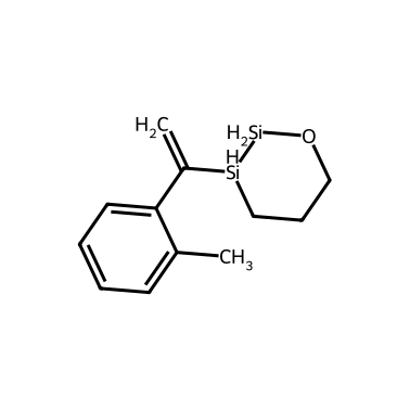 C=C(c1ccccc1C)[SiH]1CCCO[SiH2]1